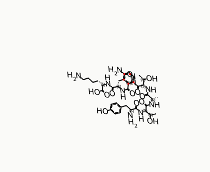 C[C@H](NC(=O)[C@@H](NC(=O)[C@@H](N)Cc1ccc(O)cc1)[C@@H](C)O)C(=O)N[C@H](C(=O)N[C@@H](CC(N)=O)C(=O)N[C@@H](Cc1ccccc1)C(=O)N[C@@H](CCCCN)C(=O)O)[C@@H](C)O